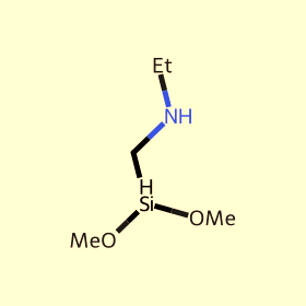 CCNC[SiH](OC)OC